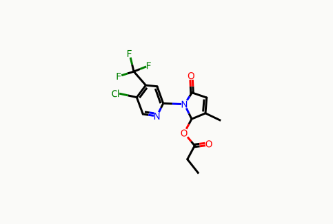 CCC(=O)OC1C(C)=CC(=O)N1c1cc(C(F)(F)F)c(Cl)cn1